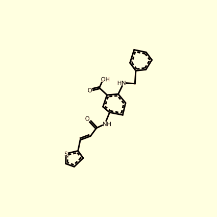 O=C(/C=C/c1cccs1)Nc1ccc(NCc2ccccc2)c(C(=O)O)c1